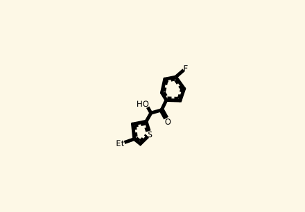 CCc1csc(C(O)C(=O)c2ccc(F)cc2)c1